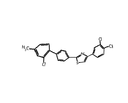 Cc1ccc(-c2ccc(-c3nc(-c4ccc(Cl)c(Cl)c4)cs3)cc2)c(Cl)c1